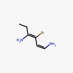 CC/C(N)=C(Br)/C=C\N